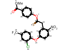 COC(=O)c1ccc(OC(=S)Cc2cc(Oc3ccc(C(F)(F)F)cc3Cl)ccc2[N+](=O)[O-])cc1